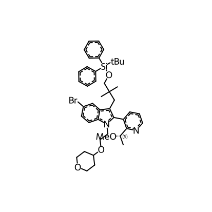 CO[C@@H](C)c1ncccc1-c1c(CC(C)(C)CO[Si](c2ccccc2)(c2ccccc2)C(C)(C)C)c2cc(Br)ccc2n1CCOC1CCOCC1